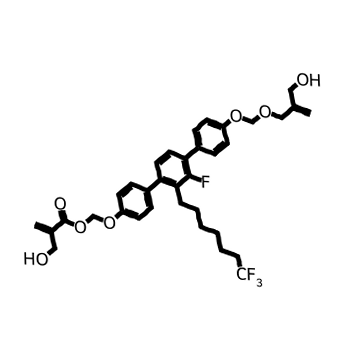 C=C(CO)COCOc1ccc(-c2ccc(-c3ccc(OCOC(=O)C(=C)CO)cc3)c(CCCCCCC(F)(F)F)c2F)cc1